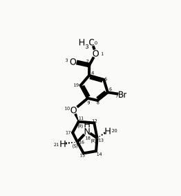 COC(=O)c1cc(Br)cc(O[C@H]2C[C@H]3CC[C@@H](C2)N3)c1